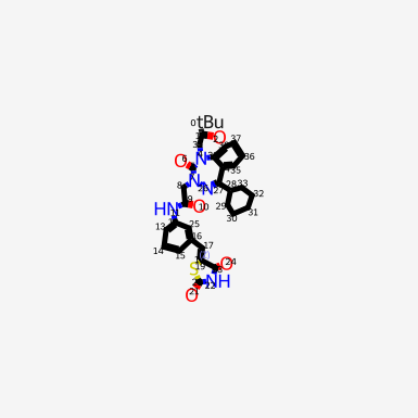 CC(C)(C)C(=O)CN1C(=O)N(CC(=O)Nc2cccc(/C=C3\SC(=O)NC3=O)c2)N=C(C2CCCCC2)c2ccccc21